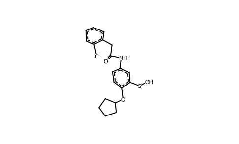 O=C(Cc1ccccc1Cl)Nc1ccc(OC2CCCC2)c(SO)c1